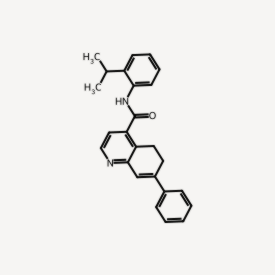 CC(C)c1ccccc1NC(=O)c1ccnc2c1CCC(c1ccccc1)=C2